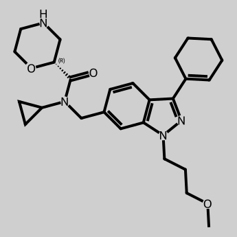 COCCCn1nc(C2=CCCCC2)c2ccc(CN(C(=O)[C@H]3CNCCO3)C3CC3)cc21